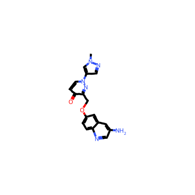 Cn1cc(-n2ccc(=O)c(COc3ccc4ncc(N)cc4c3)n2)cn1